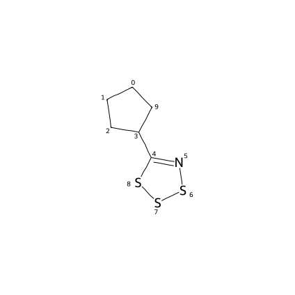 C1CCC(C2=NSSS2)C1